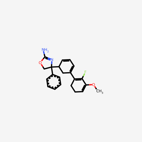 COC1=CCCC(C2=CC=CC(C3(c4ccccc4)COC(N)=N3)C2)=C1F